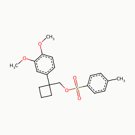 COc1ccc(C2(COS(=O)(=O)c3ccc(C)cc3)CCC2)cc1OC